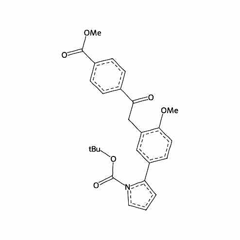 COC(=O)c1ccc(C(=O)Cc2cc(-c3cccn3C(=O)OC(C)(C)C)ccc2OC)cc1